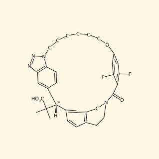 CC(C)(C(=O)O)[C@H]1c2ccc3c(c2)CN(CC3)C(=O)c2c(F)cc(cc2F)OCCCCCCn2nnc3cc1ccc32